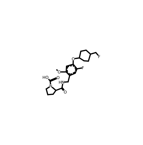 COc1cc(OC2CCC(CF)CC2)c(F)cc1CNC(=O)C1CCCN1C(=O)O